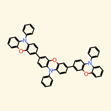 c1ccc(N2c3ccccc3Oc3cc(-c4ccc5c(c4)Oc4cc(-c6ccc7c(c6)Oc6ccccc6N7c6ccccc6)ccc4N5c4ccccc4)ccc32)cc1